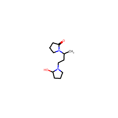 CC(CCN1CCCC1O)N1CCCC1=O